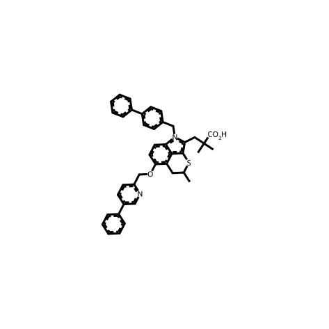 CC1Cc2c(OCc3ccc(-c4ccccc4)cn3)ccc3c2c(c(CC(C)(C)C(=O)O)n3Cc2ccc(-c3ccccc3)cc2)S1